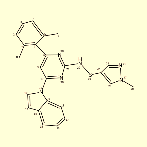 Cc1cccc(C)c1-c1cc(-n2ccc3ccccc32)nc(NSc2cnn(C)c2)n1